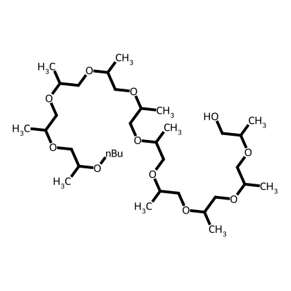 CCCCOC(C)COC(C)COC(C)COC(C)COC(C)COC(C)COC(C)COC(C)COC(C)COC(C)CO